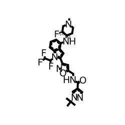 CN1CC[C@@H](Nc2cccc3c2cc(-c2cc(CNC(=O)c4cnn(C(C)(C)C)c4)on2)n3C(F)C(F)F)[C@@H](F)C1